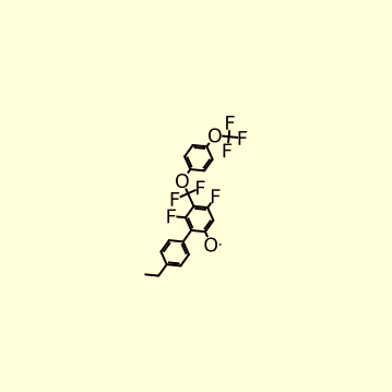 CCc1ccc(-c2c([O])cc(F)c(C(F)(F)Oc3ccc(OC(F)(F)F)cc3)c2F)cc1